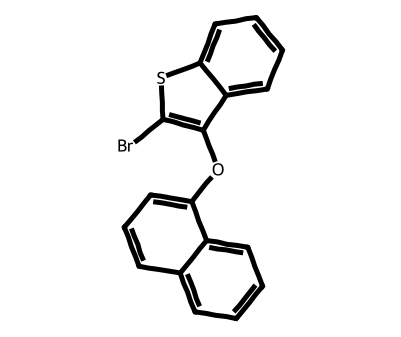 Brc1sc2ccccc2c1Oc1cccc2ccccc12